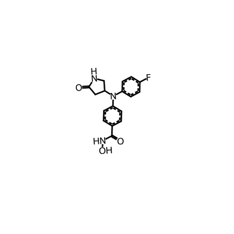 O=C1CC(N(c2ccc(F)cc2)c2ccc(C(=O)NO)cc2)CN1